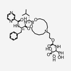 CC(C)C[C@@H](NC(=O)[C@@H](Cc1ccccc1)NC(=O)c1cnccn1)B1OCCCCN(CCOC(=O)NC(PO)P(=O)(O)O)CCCCO1